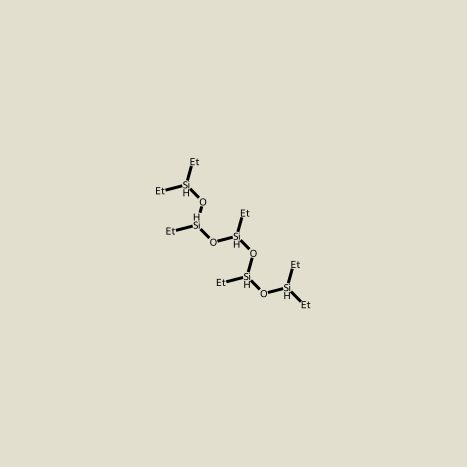 CC[SiH](CC)O[SiH](CC)O[SiH](CC)O[SiH](CC)O[SiH](CC)CC